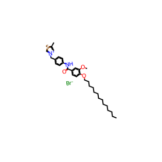 CCCCCCCCCCCCCCOc1ccc(C(=O)Nc2ccc(C[n+]3csc(C)c3)cc2)cc1OC.[Br-]